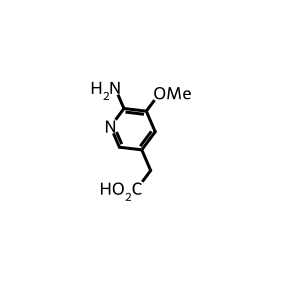 COc1cc(CC(=O)O)cnc1N